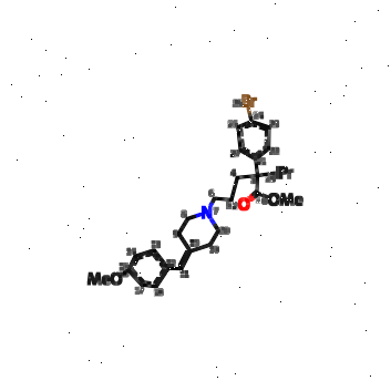 COC(=O)C(CCCN1CCC(=Cc2ccc(OC)cc2)CC1)(c1ccc(Br)cc1)C(C)C